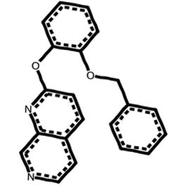 c1ccc(COc2ccccc2Oc2ccc3ccncc3n2)cc1